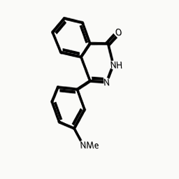 CNc1cccc(-c2n[nH]c(=O)c3ccccc23)c1